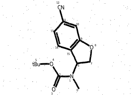 CN(C(=O)OC(C)(C)C)C1COc2cc(C#N)ccc21